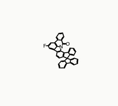 O=c1c2ccccc2c2cc(F)cc3c4ccc5c(c4n1c23)-c1ccccc1C51c2ccccc2-c2ccccc21